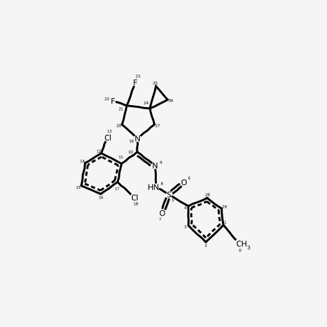 Cc1ccc(S(=O)(=O)N/N=C(\c2c(Cl)cccc2Cl)N2CC(F)(F)C3(CC3)C2)cc1